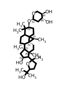 C[C@@H]1C23CC[C@H](O[C@H]4C[C@@H](O)[C@H](O)CO4)C(C)(C)C2CCC2[C@]4(C)C[C@H](O)C(C5(C)CCC(C(C)(C)O)O5)[C@@]4(C)CC[C@@]213